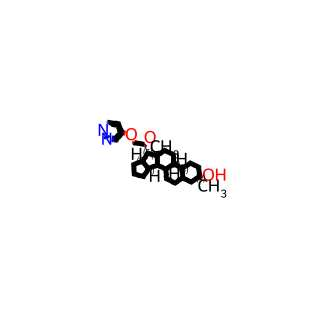 C[C@@]1(O)CC[C@H]2C(CCC3C4[C@@H]5CCC[C@@H]5[C@H](C(=O)COc5ccnnc5)[C@@]4(C)CC[C@@H]32)C1